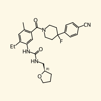 CCc1cc(C)c(C(=O)N2CCC(F)(c3ccc(C#N)cc3)CC2)cc1NC(=O)NC[C@H]1CCCO1